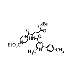 CCOC(=O)N1CCN(C(=O)C(CCC(=O)OC(C)(C)C)NC(=O)c2cc(C)nc(-c3ccc(C)cc3)n2)CC1